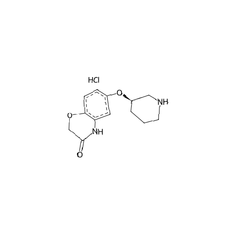 Cl.O=C1COc2ccc(O[C@@H]3CCCNC3)cc2N1